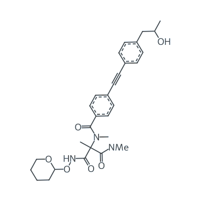 CNC(=O)C(C)(C(=O)NOC1CCCCO1)N(C)C(=O)c1ccc(C#Cc2ccc(CC(C)O)cc2)cc1